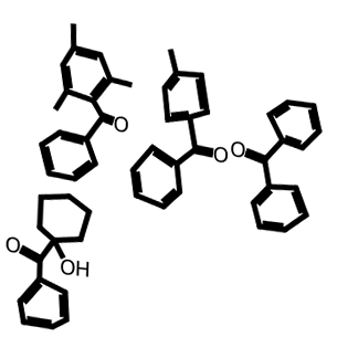 Cc1cc(C)c(C(=O)c2ccccc2)c(C)c1.Cc1ccc(C(=O)c2ccccc2)cc1.O=C(c1ccccc1)C1(O)CCCCC1.O=C(c1ccccc1)c1ccccc1